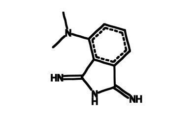 CN(C)c1cccc2c1C(=N)NC2=N